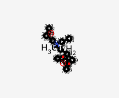 C=C(/C=C\C=C(/C)N(c1ccc(-c2ccccc2)cc1)c1ccc(-c2cccc3c2oc2ccccc23)cc1)c1ccc2c(c1)C1(c3ccccc3-2)c2ccc3ccccc3c2Oc2c1ccc1ccccc21